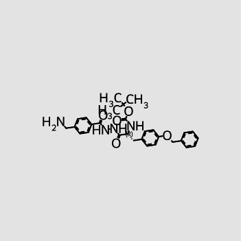 CC(C)(C)OC(=O)N[C@H](Cc1ccc(OCc2ccccc2)cc1)C(=O)NNC(=O)c1ccc(CN)cc1